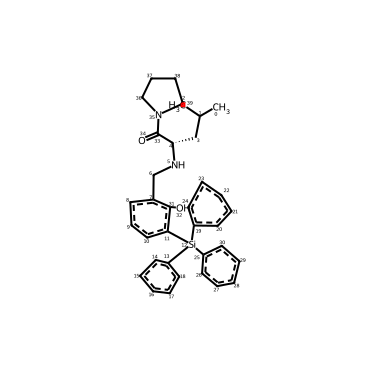 CC(C)C[C@H](NCc1cccc([Si](c2ccccc2)(c2ccccc2)c2ccccc2)c1O)C(=O)N1CCCC1